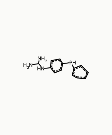 NC(N)Nc1ccc(Pc2ccccc2)cc1